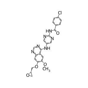 COc1cc2c(Nc3cnc(NC(=O)c4ccc(Cl)cc4)nc3)ncnc2cc1OC[C@H]1CO1